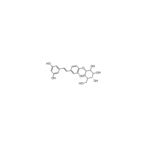 OCC1O[C@@H](Oc2ccc(/C=C/c3cc(O)cc(O)c3)cc2O)C(O)C(O)[C@@H]1O